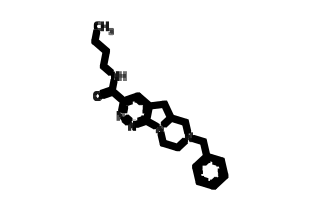 CCCCNC(=O)c1cc2c(nn1)N1CCN(Cc3ccccc3)CC1C2